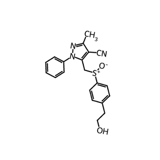 Cc1nn(-c2ccccc2)c(C[S+]([O-])c2ccc(CCO)cc2)c1C#N